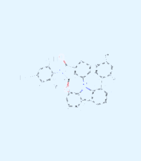 Cc1cc(C)c(N2C(=O)c3cccc(-n4c5ccccc5c5cccc(-c6ccc(C(F)(F)F)cc6C(F)(F)F)c54)c3C2=O)c(C)c1